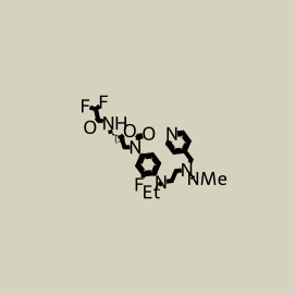 CCN(CCN(Cc1ccncc1)NC)c1ccc(N2C[C@H](CNC(=O)C(F)F)OC2=O)cc1F